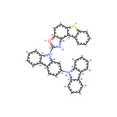 c1ccc2c(c1)sc1ccc3oc(-n4c5ccccc5c5ccc(-n6c7ccccc7c7ccccc76)cc54)nc3c12